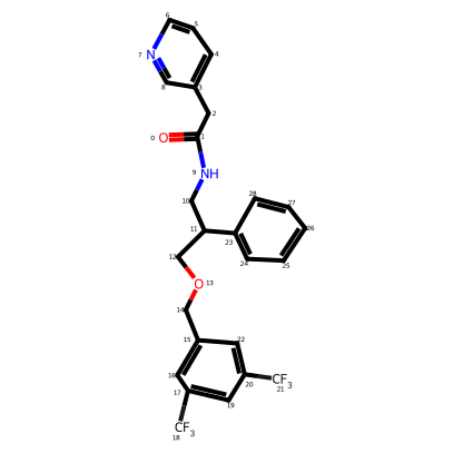 O=C(Cc1cccnc1)NCC(COCc1cc(C(F)(F)F)cc(C(F)(F)F)c1)c1ccccc1